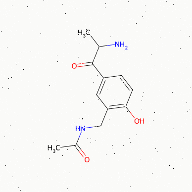 CC(=O)NCc1cc(C(=O)C(C)N)ccc1O